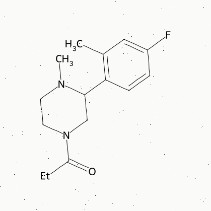 CCC(=O)N1CCN(C)C(c2ccc(F)cc2C)C1